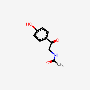 O=C(CNC(=O)C(F)(F)F)c1ccc(O)cc1